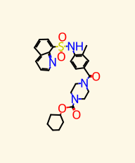 Cc1cc(C(=O)N2CCN(C(=O)OC3CCCCC3)CC2)ccc1NS(=O)(=O)c1cccc2cccnc12